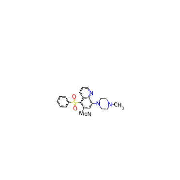 CNc1cc(N2CCN(C)CC2)c2ncccc2c1S(=O)(=O)c1ccccc1